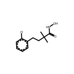 CC(C)(CCc1ccccc1Cl)C(=O)NO